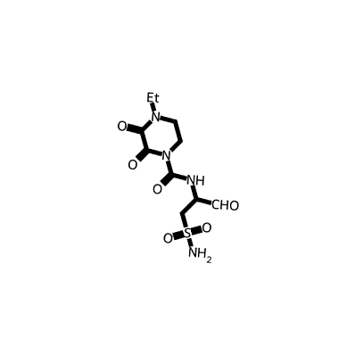 CCN1CCN(C(=O)NC(C=O)CS(N)(=O)=O)C(=O)C1=O